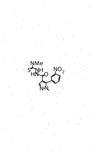 CNC(=S)NNC(=O)c1cnn(C)c1-c1cccc([N+](=O)[O-])c1